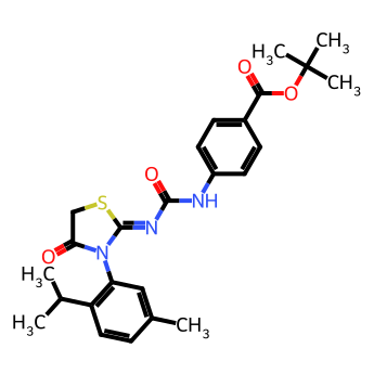 Cc1ccc(C(C)C)c(N2C(=O)CS/C2=N\C(=O)Nc2ccc(C(=O)OC(C)(C)C)cc2)c1